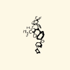 CC(C)C(C)/C(=N\N(C=O)CC(F)(F)F)c1ccc(OC2CCN(C3CCC3)CC2)cc1